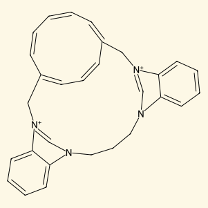 c1ccc2cccc(cc1)C[n+]1cn(c3ccccc31)CCCn1c[n+](c3ccccc31)C2